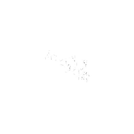 CC1(C)Cc2cc(-c3ccc(C(F)(F)F)cc3)ccc2N([S+]([O-])c2ccc(-c3noc(=O)[nH]3)c(OCC(F)(F)F)c2)C1